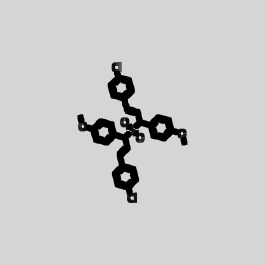 COc1ccc(C(C=Cc2ccc(Cl)cc2)S(=O)(=O)C(C=Cc2ccc(Cl)cc2)c2ccc(OC)cc2)cc1